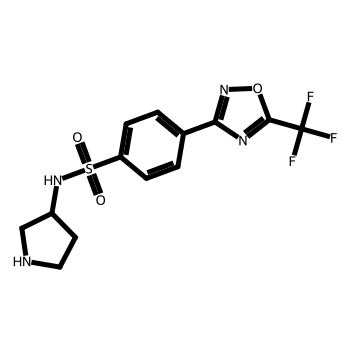 O=S(=O)(NC1CCNC1)c1ccc(-c2noc(C(F)(F)F)n2)cc1